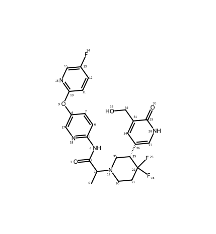 CC(C(=O)Nc1ccc(Oc2ccc(F)cn2)cn1)N1CCC(F)(F)[C@@H](c2c[nH]c(=O)c(CO)c2)C1